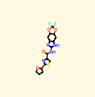 O=C(Nc1nc2cc3c(cc2[nH]1)OC(F)(F)O3)c1csc(-c2ccco2)n1